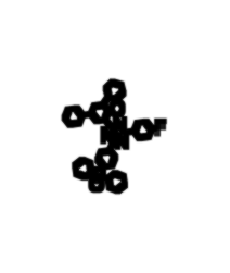 O=P(c1ccccc1)(c1ccccc1)c1ccc(-c2nc(-c3ccc(F)cc3)nc(-c3cc(-c4ccccc4)cc4c3oc3ccccc34)n2)cc1